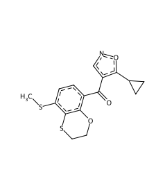 CSc1ccc(C(=O)c2cnoc2C2CC2)c2c1SCCO2